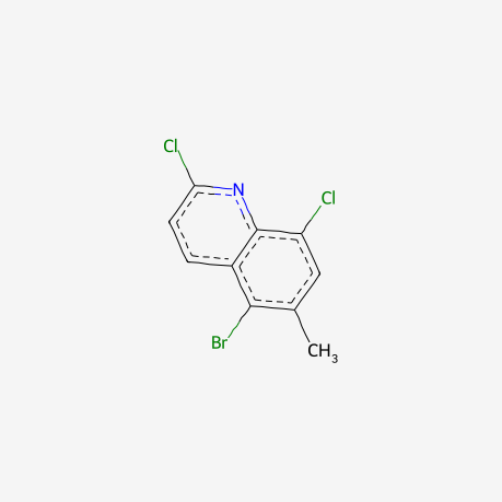 Cc1cc(Cl)c2nc(Cl)ccc2c1Br